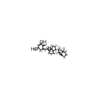 C=C1/C(=C\C=C2/CCC[C@]3(C)[C@@H](C(C)CN4CCCCC4(C)C)CC[C@@H]23)C[C@@H](O)C[C@@H]1O